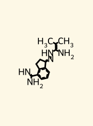 CC(C)=C(N)N/N=C1\CCc2c(C(=N)N)cccc21